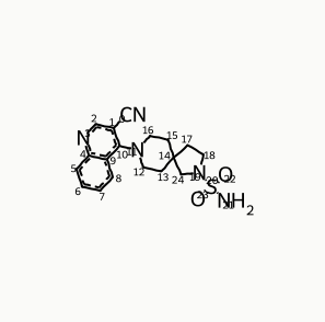 N#Cc1cnc2ccccc2c1N1CCC2(CC1)CCN(S(N)(=O)=O)C2